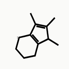 CC1=C(C)C(C)C2=C1[C]CCC2